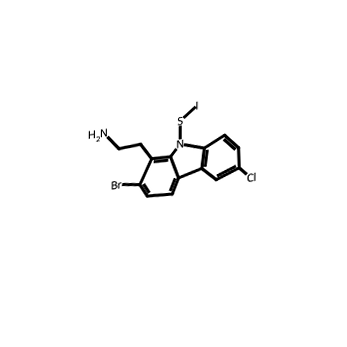 NCCc1c(Br)ccc2c3cc(Cl)ccc3n(SI)c12